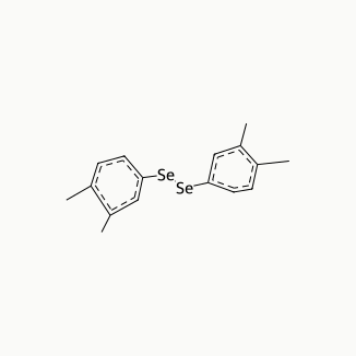 Cc1ccc([Se][Se]c2ccc(C)c(C)c2)cc1C